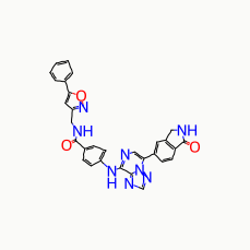 O=C(NCc1cc(-c2ccccc2)on1)c1ccc(Nc2ncc(-c3ccc4c(c3)CNC4=O)n3ncnc23)cc1